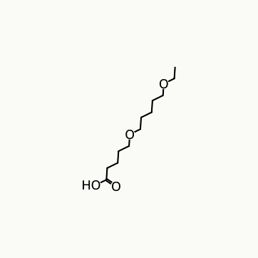 CCOCCCCCOCCCCC(=O)O